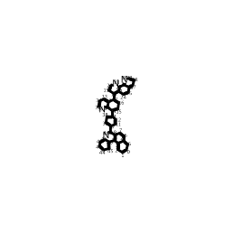 c1ccc2c(c1)ccc1c(-c3ccc(-c4ccc(-c5ccnc6c5ccc5cccnc56)c5cccnc45)cc3)nc3ccccc3c12